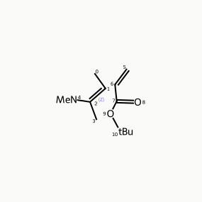 C/C=C(/C)NC.C=CC(=O)OC(C)(C)C